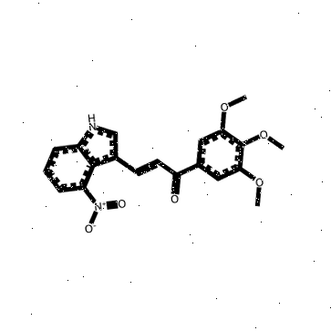 COc1cc(C(=O)C=Cc2c[nH]c3cccc([N+](=O)[O-])c23)cc(OC)c1OC